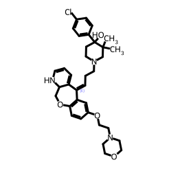 CC1(C)CN(CC/C=C2\C3=CC=CNC3COc3ccc(OCCN4CCOCC4)cc32)CCC1(O)c1ccc(Cl)cc1